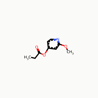 CCC(=O)Oc1ccnc(OC)c1